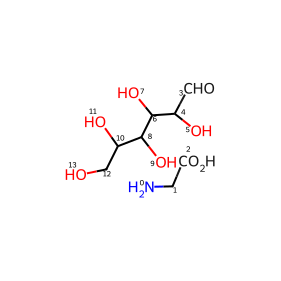 NCC(=O)O.O=CC(O)C(O)C(O)C(O)CO